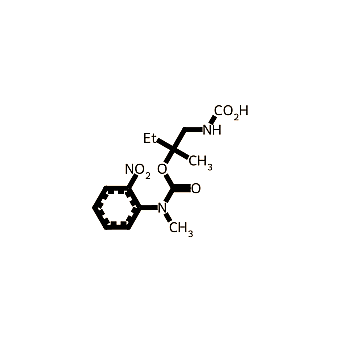 CCC(C)(CNC(=O)O)OC(=O)N(C)c1ccccc1[N+](=O)[O-]